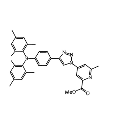 COC(=O)c1cc(-n2cc(-c3ccc(B(c4c(C)cc(C)cc4C)c4c(C)cc(C)cc4C)cc3)nn2)cc(C)n1